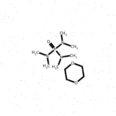 C1COCCO1.CN(C)P(=O)(N(C)C)N(C)C